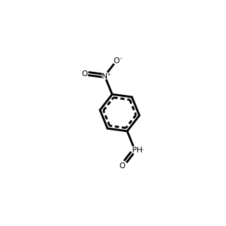 O=[PH]c1ccc([N+](=O)[O-])cc1